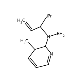 BN(C(C=C)C(C)C)C1N=CC=CC1C